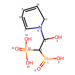 O=[PH](O)C(C(O)N1C=CC=CC1)P(=O)(O)O